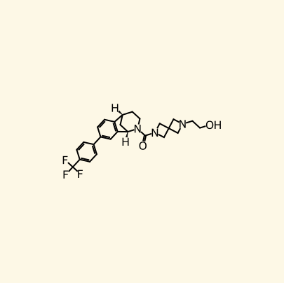 O=C(N1CC2(CN(CCO)C2)C1)N1CC[C@@H]2C[C@H]1c1cc(-c3ccc(C(F)(F)F)cc3)ccc12